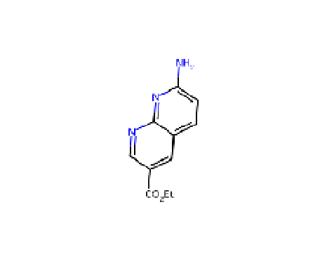 CCOC(=O)c1cnc2nc(N)ccc2c1